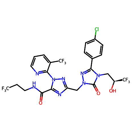 O=C(NCCC(F)(F)F)c1nc(Cn2nc(-c3ccc(Cl)cc3)n(C[C@H](O)C(F)(F)F)c2=O)nn1-c1ncccc1C(F)(F)F